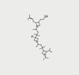 CC(C)=CCC1C(CCS)CN1C(C)CC(C)(C)C1(F)CN(C(C)CC(C)(C)C2CN(C(C)C)C2C(C)C)C1